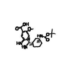 COc1cn(C(=N)[C@H]2CCC[C@@H](NC(=O)OC(C)(C)C)C2)c(=N)cc1C(=O)O